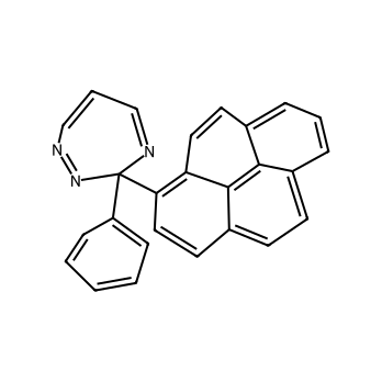 C1=CN=NC(c2ccccc2)(c2ccc3ccc4cccc5ccc2c3c45)N=C1